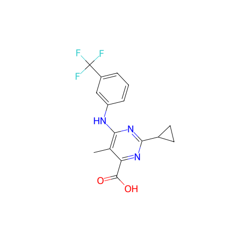 Cc1c(Nc2cccc(C(F)(F)F)c2)nc(C2CC2)nc1C(=O)O